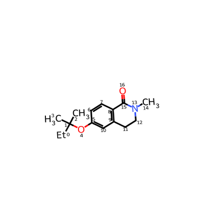 CCC(C)(C)Oc1ccc2c(c1)CCN(C)C2=O